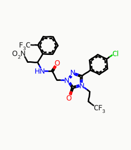 O=C(Cn1nc(-c2ccc(Cl)cc2)n(CCC(F)(F)F)c1=O)NC(C[N+](=O)[O-])c1ccccc1C(F)(F)F